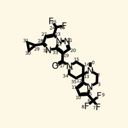 CN1CCn2c(C(F)(F)F)ccc2C12CCN(C(=O)c1cnn3c(C(F)F)cc(C4CC4)nc13)CC2